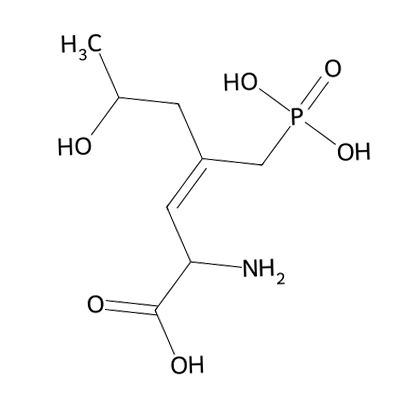 CC(O)CC(=CC(N)C(=O)O)CP(=O)(O)O